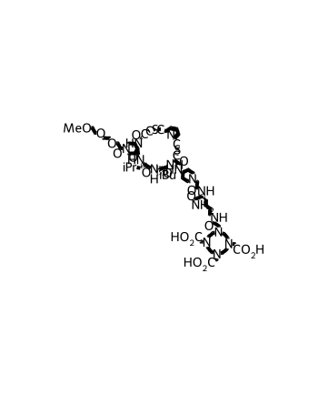 CC[C@H](C)[C@@H]1NC(=O)[C@H](CC(C)C)NC(=O)C2(CCN(C(=O)COCCOCCOC)CC2)NC(=O)CCSCc2cccc(n2)CSCC(C(=O)NC2CCN(CC(=O)N[C@@H](CCCCNC(=O)CN3CCN(CC(=O)O)CCN(CC(=O)O)CCN(CC(=O)O)CC3)C(N)=O)CC2)NC1=O